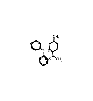 CC1CCC(C(C)C)[C@H](P(c2ccccc2)c2ccccc2)C1